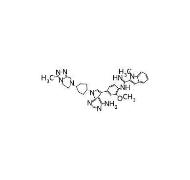 COc1cc(-c2cn([C@H]3CC[C@@H](N4CCn5c(C)nnc5C4)CC3)c3ncnc(N)c23)ccc1NC(=N)c1cc2ccccc2n1C